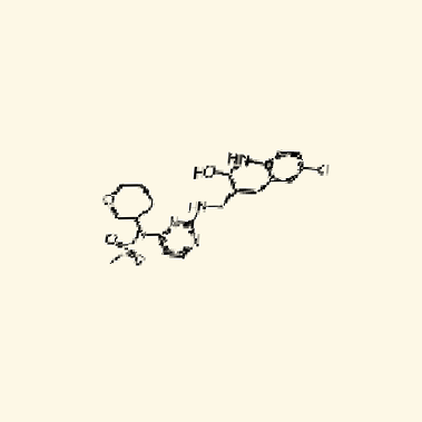 CS(=O)(=O)N(c1ccnc(NCC2=Cc3cc(Cl)ccc3NC2O)n1)C1CCCOC1